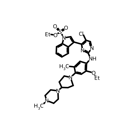 CCOc1cc(N2CCC(N3CCN(C)CC3)CC2)c(C)cc1Nc1ncc(Cl)c(-c2cn(S(=O)(=O)OCC)c3ccccc23)n1